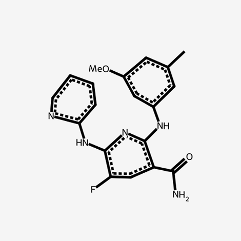 COc1cc(C)cc(Nc2nc(Nc3ccccn3)c(F)cc2C(N)=O)c1